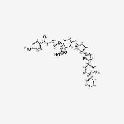 COc1ccc(C(=O)COC(=O)OC2(OC(=O)O)CCN(Cc3ccc(-c4noc(-c5ccc(-c6ccccc6)c(F)c5)n4)cc3)CC2)cc1